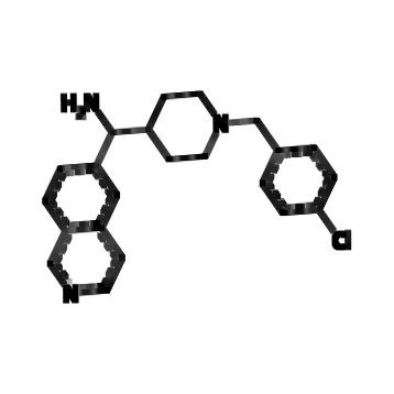 NC(c1ccc2cnccc2c1)C1CCN(Cc2ccc(Cl)cc2)CC1